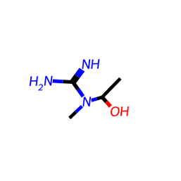 CC(O)N(C)C(=N)N